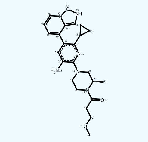 COCCC(=O)N1CCN(c2nc(C3CC3)c(C3=CC=CN4ONC=C34)cc2N)C[C@H]1C